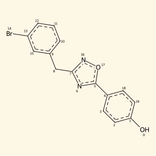 Oc1ccc(-c2nc(Cc3cccc(Br)c3)no2)cc1